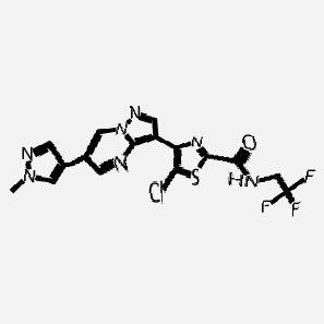 Cn1cc(-c2cnc3c(-c4nc(C(=O)NCC(F)(F)F)sc4Cl)cnn3c2)cn1